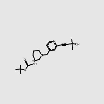 CC(C)(O)C#Cc1cc(CN2CCC[C@@H](NC(=O)OC(C)(C)C)C2)ccn1